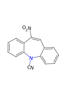 N#CN1c2ccccc2C=C([N+](=O)[O-])c2ccccc21